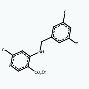 CCOC(=O)c1cnc(Cl)cc1NCc1cc(F)cc(F)c1